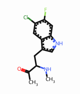 CNC(Cc1c[nH]c2cc(F)c(Cl)cc12)C(C)=O